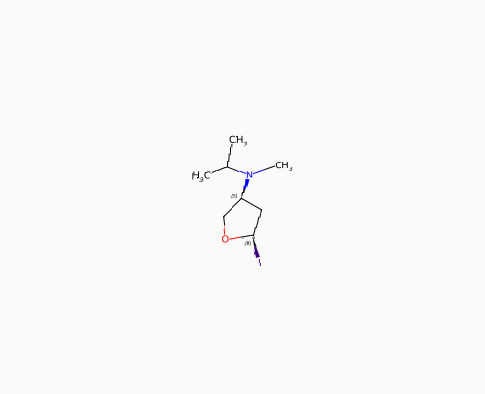 CC(C)N(C)[C@@H]1CO[C@H](I)C1